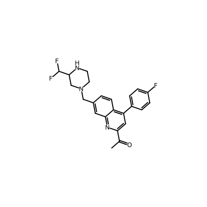 CC(=O)c1cc(-c2ccc(F)cc2)c2ccc(CN3CCNC(C(F)F)C3)cc2n1